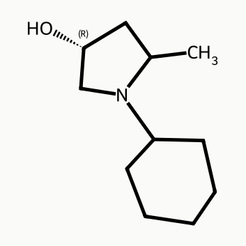 CC1C[C@@H](O)CN1C1CCCCC1